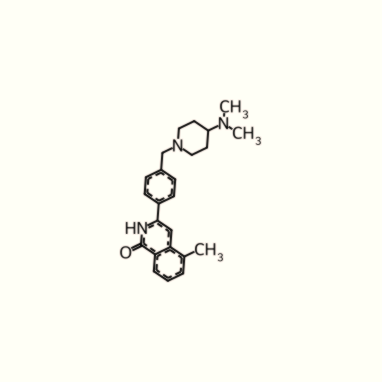 Cc1cccc2c(=O)[nH]c(-c3ccc(CN4CCC(N(C)C)CC4)cc3)cc12